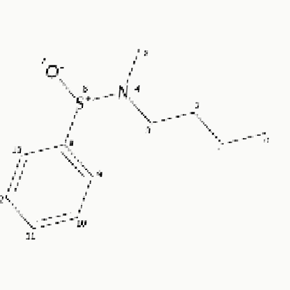 CCCCN(C)[S+]([O-])c1ccccc1